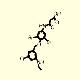 CCNc1cc(Cl)cc(COc2c(Br)cc(NC(=O)CC(=O)O)cc2Br)c1